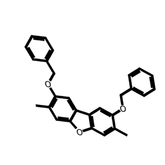 Cc1cc2oc3cc(C)c(OCc4ccccc4)cc3c2cc1OCc1ccccc1